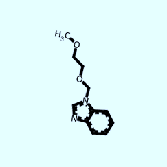 COCCOCn1cnc2ccccc21